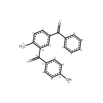 Cc1ccc(C(=O)c2ccccc2)cc1C(=O)c1ccc(O)cc1